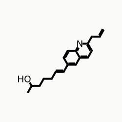 C=CCc1ccc2cc(C=CCCCC(C)O)ccc2n1